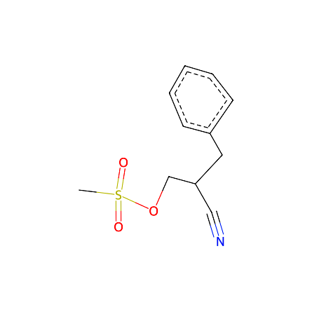 CS(=O)(=O)OCC(C#N)Cc1ccccc1